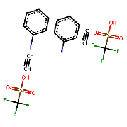 C#C.C#C.Ic1ccccc1.Ic1ccccc1.O=S(=O)(O)C(F)(F)F.O=S(=O)(O)C(F)(F)F